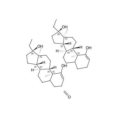 C=O.CC[C@@]1(O)CC[C@H]2[C@@H]3CCC4CCC=C(O)[C@]4(C)[C@H]3CC[C@@]21C.CC[C@@]1(O)CC[C@H]2[C@@H]3CCC4CCC=C(O)[C@]4(C)[C@H]3CC[C@@]21C